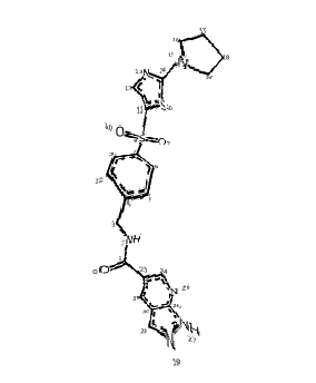 O=C(NCc1ccc(S(=O)(=O)c2cnc(N3CCCC3)s2)cc1)c1cnc2[nH]ncc2c1